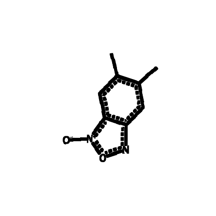 Cc1cc2no[n+]([O-])c2cc1C